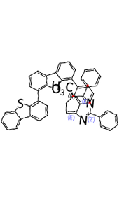 C[C@@H]1C/C=C(c2cccc(-c3cccc4c3oc3c(-c5cccc6c5sc5ccccc56)cccc34)c2)/N=C(c2ccccc2)\N=C/1c1ccccc1